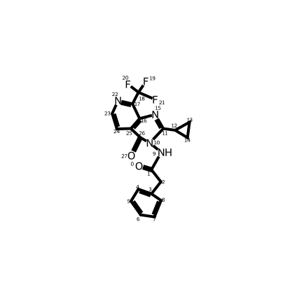 O=C(Cc1ccccc1)Nn1c(C2CC2)nc2c(C(F)(F)F)nccc2c1=O